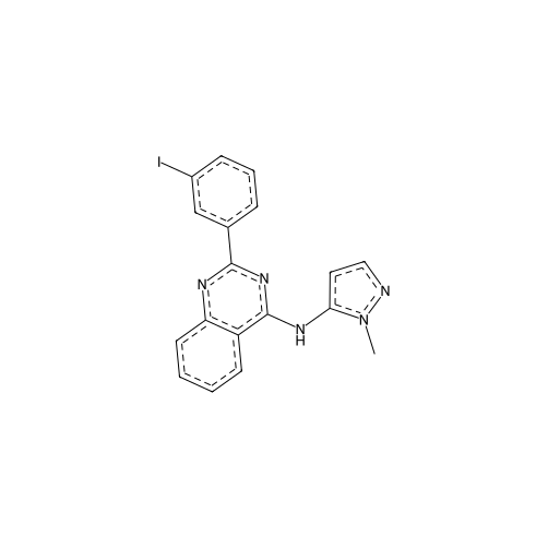 Cn1nccc1Nc1nc(-c2cccc(I)c2)nc2ccccc12